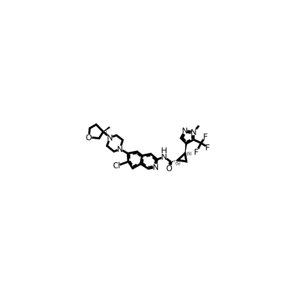 Cn1ncc([C@H]2C[C@@H]2C(=O)Nc2cc3cc(N4CCN([C@@]5(C)CCOC5)CC4)c(Cl)cc3cn2)c1C(F)(F)F